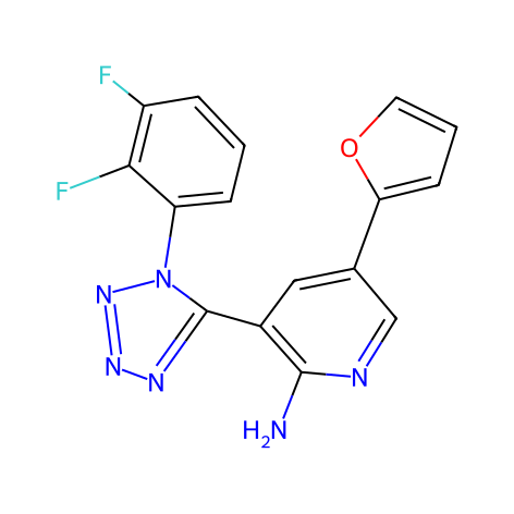 Nc1ncc(-c2ccco2)cc1-c1nnnn1-c1cccc(F)c1F